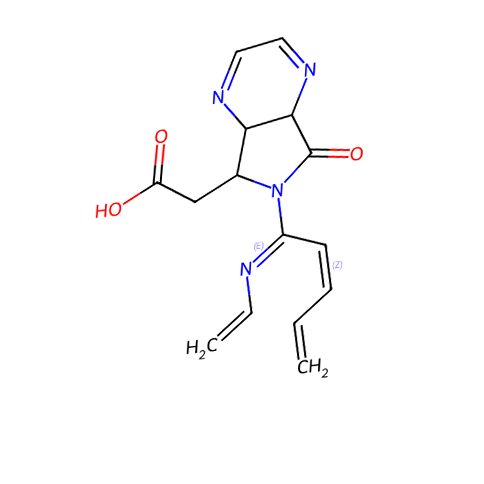 C=C/C=C\C(=N/C=C)N1C(=O)C2N=CC=NC2C1CC(=O)O